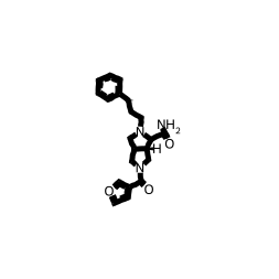 NC(=O)C1[C@@H]2CN(C(=O)c3ccoc3)CC2CN1CC[CH]c1ccccc1